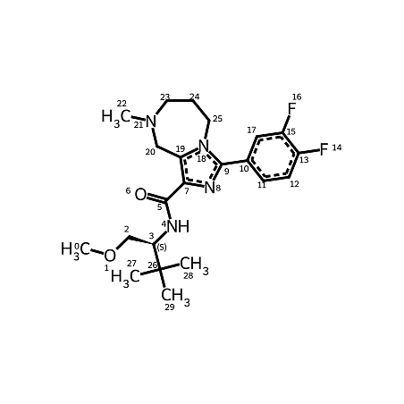 COC[C@@H](NC(=O)c1nc(-c2ccc(F)c(F)c2)n2c1CN(C)CCC2)C(C)(C)C